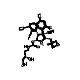 CC1(C[C@@H]2N[C@H](OC(=O)NCC[C@H](O)CO)[C@H](c3cccc(Cl)c3F)[C@@]2(C#N)c2ccc(Cl)cc2F)COC1